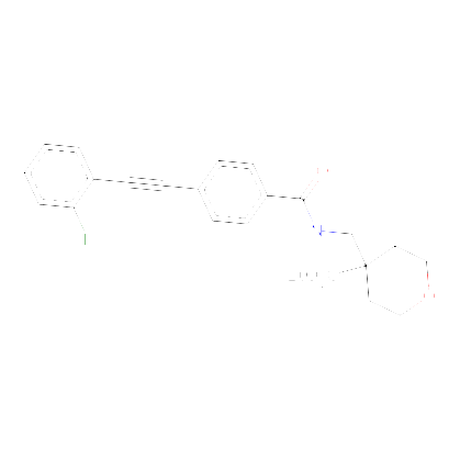 CCOC(=O)C1(CNC(=O)c2ccc(C#Cc3ccccc3F)cc2)CCOCC1